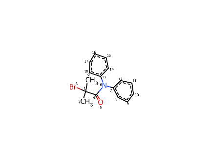 CC(C)(Br)C(=O)N(c1ccccc1)c1ccccc1